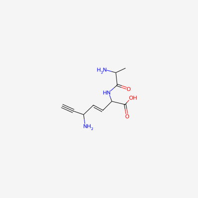 C#CC(N)C=CC(NC(=O)C(C)N)C(=O)O